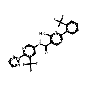 Cc1nc(-c2ccccc2C(F)(F)F)ncc1C(=O)Nc1cnc(-n2nccn2)c(C(F)(F)F)c1